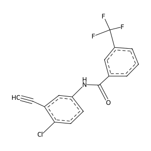 C#Cc1cc(NC(=O)c2cccc(C(F)(F)F)c2)ccc1Cl